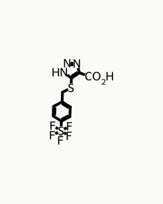 O=C(O)c1nn[nH]c1SCc1ccc(S(F)(F)(F)(F)F)cc1